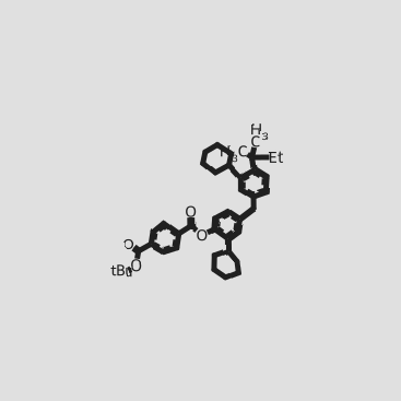 CCC(C)(C)c1ccc(Cc2ccc(OC(=O)c3ccc(C(=O)OC(C)(C)C)cc3)c(C3CCCCC3)c2)cc1C1CCCCC1